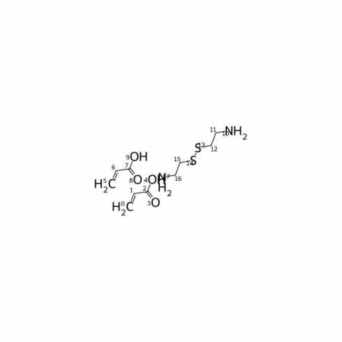 C=CC(=O)O.C=CC(=O)O.NCCSSCCN